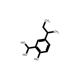 CCC(C)c1ccc(O)c(C(O)O)c1